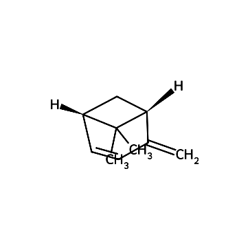 C=C1C=C[C@@H]2C[C@H]1C2(C)C